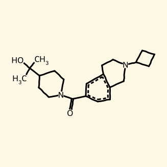 CC(C)(O)C1CCN(C(=O)c2ccc3c(c2)CCN(C2CCC2)C3)CC1